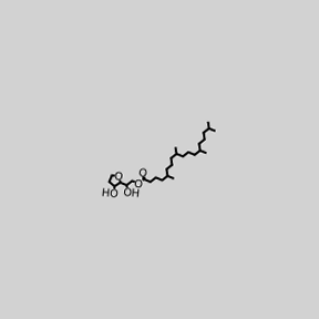 CC(C)CCCC(C)CCCC(C)CCCC(C)CCCC(=O)OCC(O)C1OCCC1O